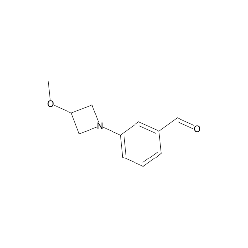 COC1CN(c2cccc(C=O)c2)C1